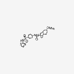 COc1ccc2oc(C(=O)Nc3ccc(S(=O)(=O)Nc4nccs4)cc3)cc2c1